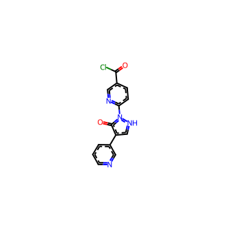 O=C(Cl)c1ccc(-n2[nH]cc(-c3cccnc3)c2=O)nc1